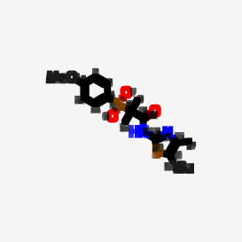 COc1ccc(S(=O)(=O)C(C)(C)C(=O)Nc2nc(C)c(C(C)(C)C)s2)cc1